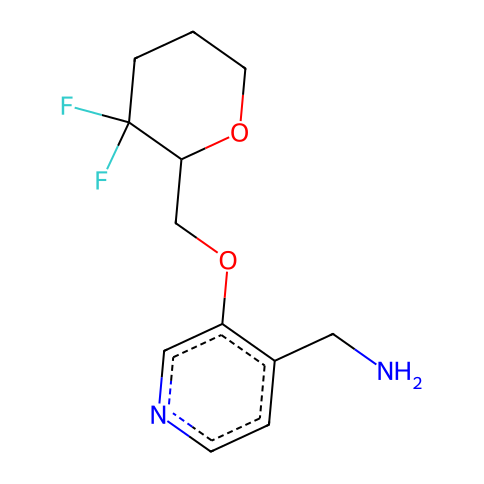 NCc1ccncc1OCC1OCCCC1(F)F